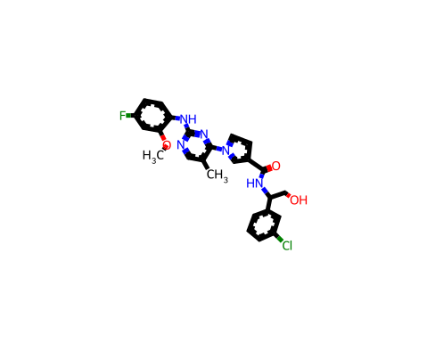 COc1cc(F)ccc1Nc1ncc(C)c(-n2ccc(C(=O)NC(CO)c3cccc(Cl)c3)c2)n1